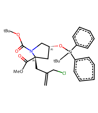 C=C(CCl)C[C@]1(C(=O)OC)C[C@@H](O[Si](c2ccccc2)(c2ccccc2)C(C)(C)C)CN1C(=O)OC(C)(C)C